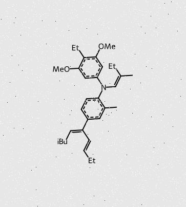 CC/C=C/C(=C\C(C)CC)c1ccc(N(/C=C(/C)CC)c2cc(OC)c(CC)c(OC)c2)c(C)c1